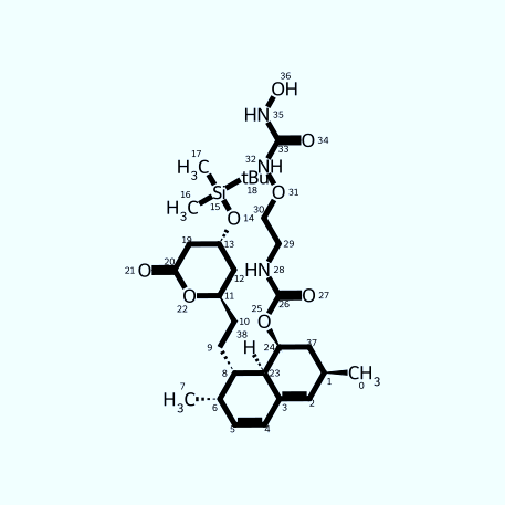 C[C@H]1C=C2C=C[C@H](C)[C@H](CC[C@@H]3C[C@@H](O[Si](C)(C)C(C)(C)C)CC(=O)O3)[C@H]2[C@@H](OC(=O)NCCONC(=O)NO)C1